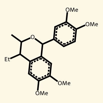 CCC1c2cc(OC)c(OC)cc2C(c2ccc(OC)c(OC)c2)OC1C